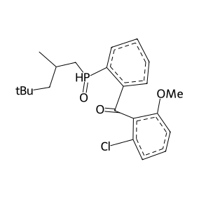 COc1cccc(Cl)c1C(=O)c1ccccc1[PH](=O)CC(C)CC(C)(C)C